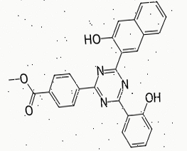 COC(=O)c1ccc(-c2nc(-c3ccccc3O)nc(-c3cc4ccccc4cc3O)n2)cc1